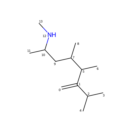 C=C(C(C)C)C(C)C(C)CC(C)NC